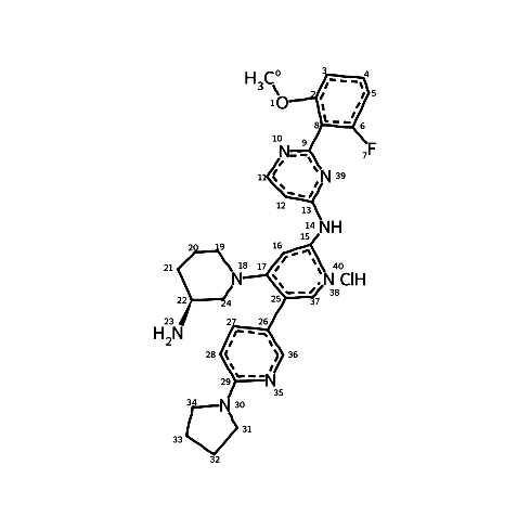 COc1cccc(F)c1-c1nccc(Nc2cc(N3CCC[C@H](N)C3)c(-c3ccc(N4CCCC4)nc3)cn2)n1.Cl